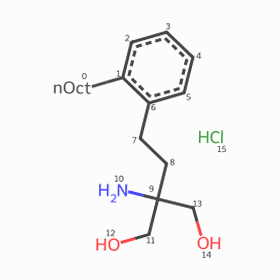 CCCCCCCCc1ccccc1CCC(N)(CO)CO.Cl